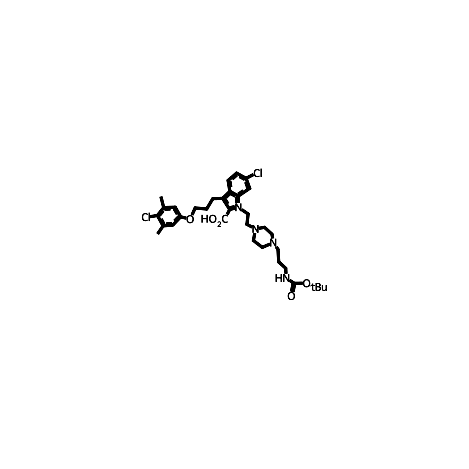 Cc1cc(OCCCc2c(C(=O)O)n(CCN3CCN(CCCNC(=O)OC(C)(C)C)CC3)c3cc(Cl)ccc23)cc(C)c1Cl